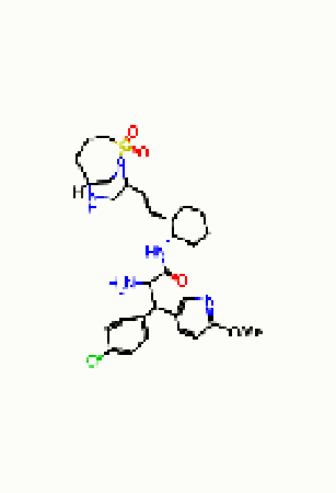 COc1ccc(C(c2ccc(Cl)cc2)C(N)C(=O)N[C@H]2CCCC[C@@H]2CC[C@H]2CN[C@@H]3CCCS(=O)(=O)N2C3)cn1